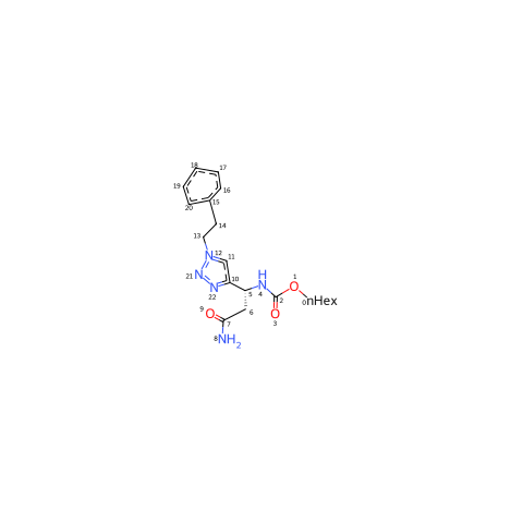 CCCCCCOC(=O)N[C@H](CC(N)=O)c1cn(CCc2ccccc2)nn1